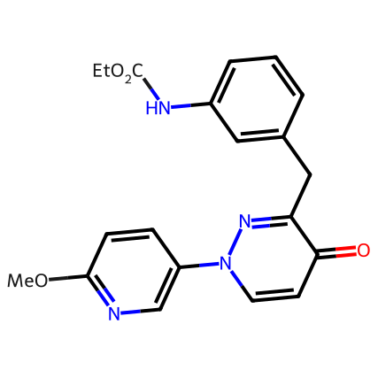 CCOC(=O)Nc1cccc(Cc2nn(-c3ccc(OC)nc3)ccc2=O)c1